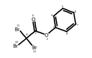 O=C(Oc1cc[c]cc1)C(Br)(Br)Br